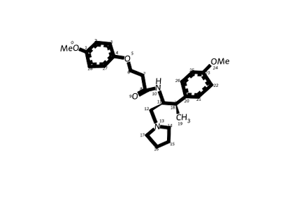 COc1ccc(OCCC(=O)N[C@H](CN2CCCC2)[C@H](C)c2ccc(OC)cc2)cc1